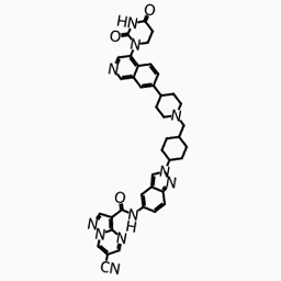 N#Cc1cnc2c(C(=O)Nc3ccc4nn(C5CCC(CN6CCC(c7ccc8c(N9CCC(=O)NC9=O)cncc8c7)CC6)CC5)cc4c3)cnn2c1